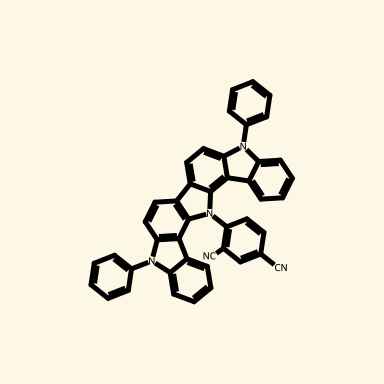 N#Cc1ccc(-n2c3c(ccc4c3c3ccccc3n4-c3ccccc3)c3ccc4c(c5ccccc5n4-c4ccccc4)c32)c(C#N)c1